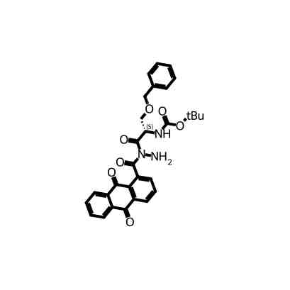 CC(C)(C)OC(=O)N[C@@H](COCc1ccccc1)C(=O)N(N)C(=O)c1cccc2c1C(=O)c1ccccc1C2=O